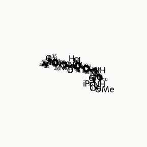 COC(=O)N[C@H](C(=O)N1C[C@@H](C)C[C@H]1c1nc(-c2ccc(-c3cc(Cl)c(NC(=O)c4ccc(N5C[C@H](C)N(C(=O)[C@H]6CC6(C)C)C[C@H]5C)nc4)cc3C)cc2)c[nH]1)C(C)C